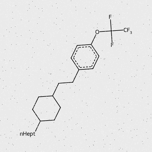 CCCCCCCC1CCC(CCc2ccc(OC(F)(F)C(F)(F)F)cc2)CC1